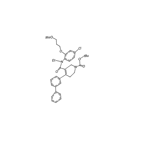 CCN(C(=O)C1=C(c2cccc(-c3ccccc3)c2)CCN(C(=O)OC(C)(C)C)C1)c1ccc(Cl)cc1OCCCOC